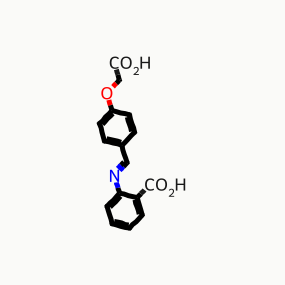 O=C(O)COc1ccc(C=Nc2ccccc2C(=O)O)cc1